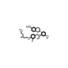 CCN(Cc1ccc(OCCN(C)CCOC)c(F)c1)c1cc(OC)ccc1[C@H]1CCc2cc(O)ccc2C1